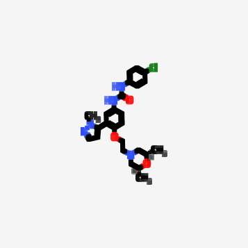 C[C@@H]1CN(CCOc2ccc(NC(=O)Nc3ccc(Cl)cc3)cc2-c2ccnn2C)C[C@H](C)O1